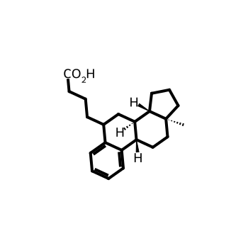 C[C@@]12CCC[C@H]1[C@@H]1CC(CCCC(=O)O)c3ccccc3[C@H]1CC2